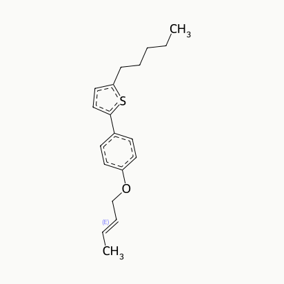 C/C=C/COc1ccc(-c2ccc(CCCCC)s2)cc1